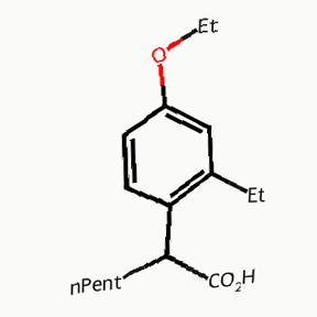 CCCCCC(C(=O)O)c1ccc(OCC)cc1CC